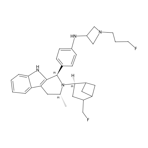 C[C@@H]1Cc2c([nH]c3ccccc23)[C@@H](c2ccc(NC3CN(CCCF)C3)cc2)N1[C@@H]1CC(CF)C2CC1C2